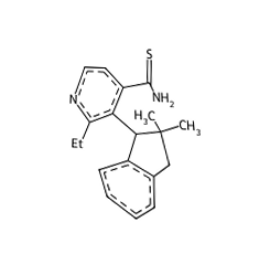 CCc1nccc(C(N)=S)c1C1c2ccccc2CC1(C)C